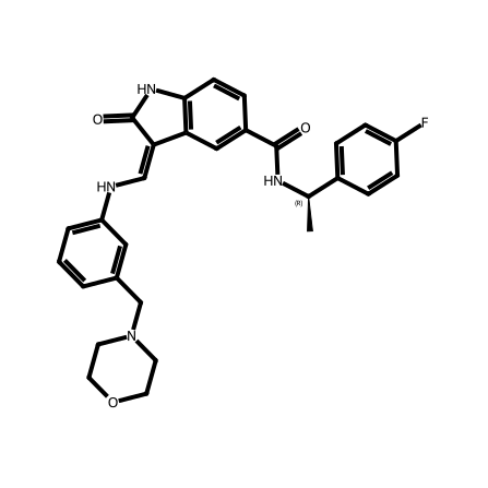 C[C@@H](NC(=O)c1ccc2c(c1)C(=CNc1cccc(CN3CCOCC3)c1)C(=O)N2)c1ccc(F)cc1